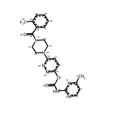 Cc1ccnc(NC(=O)Oc2ccc(N3CCN(C(=O)c4ccccc4C(F)(F)F)CC3)nn2)n1